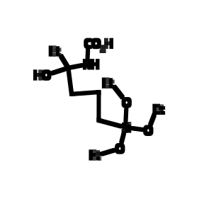 CCO[Si](CCCC(O)(CC)NC(=O)O)(OCC)OCC